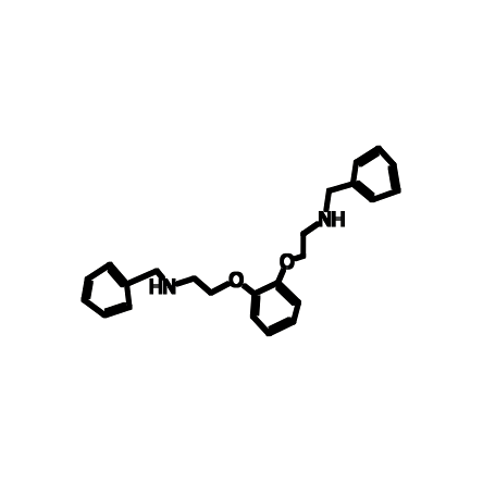 c1ccc(CNCCOc2ccccc2OCCNCc2ccccc2)cc1